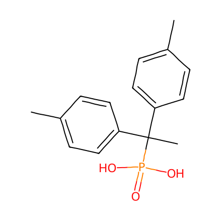 Cc1ccc(C(C)(c2ccc(C)cc2)P(=O)(O)O)cc1